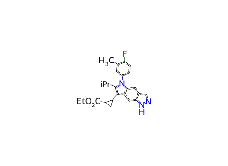 CCOC(=O)C1CC1c1c(C(C)C)n(-c2ccc(F)c(C)c2)c2cc3cn[nH]c3cc12